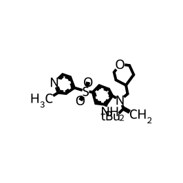 C=C(N(CC1CCOCC1)c1ccc(S(=O)(=O)c2ccnc(C)c2)cc1N)C(C)(C)C